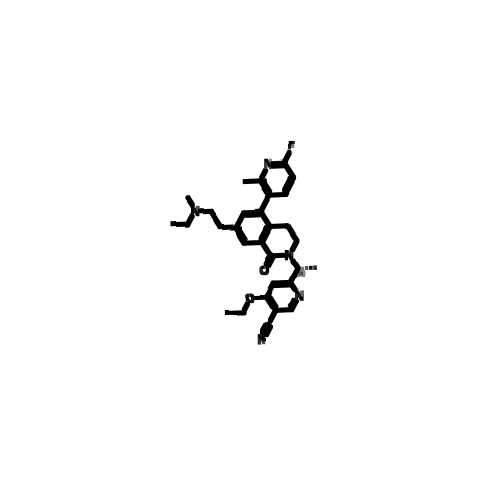 CCOc1cc([C@@H](C)N2CCc3c(cc(CCN(C)CC)cc3-c3ccc(F)nc3C)C2=O)ncc1C#N